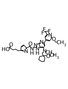 CCOc1cc(-c2cc(N(C)CC3(COC)CCCCC3)c3[nH]c(NC(=O)c4ccc(CCCC(=O)O)cn4)nc3n2)cc(C(F)(F)F)n1